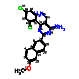 COc1ccc2cc(-c3nc(N)c(CN)c(-c4ccc(Cl)cc4Cl)n3)ccc2c1